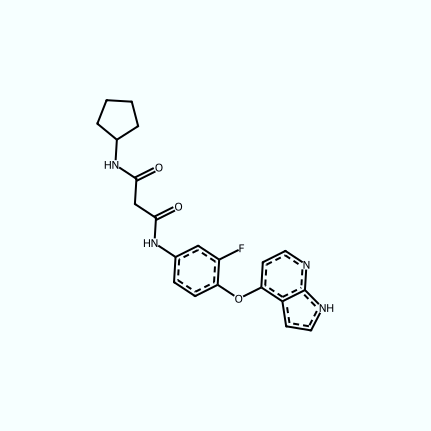 O=C(CC(=O)NC1CCCC1)Nc1ccc(Oc2ccnc3[nH]ccc23)c(F)c1